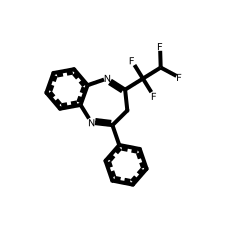 FC(F)C(F)(F)C1=Nc2ccccc2N=C(c2ccccc2)C1